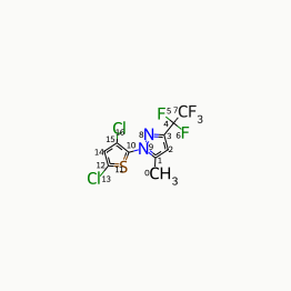 Cc1cc(C(F)(F)C(F)(F)F)nn1-c1sc(Cl)cc1Cl